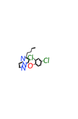 C=CCCc1cc(Oc2ccc(Cl)cc2Cl)n2nccc2n1